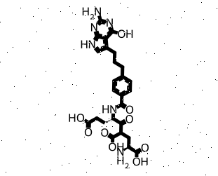 Nc1nc(O)c2c(CCCc3ccc(C(=O)N[C@@H](CCC(=O)O)C(=O)C(C[C@H](N)C(=O)O)C(=O)O)cc3)c[nH]c2n1